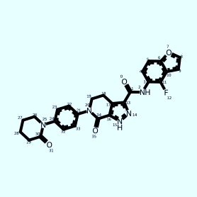 O=C(Nc1ccc2occc2c1F)c1n[nH]c2c1CCN(c1ccc(N3CCCCC3=O)cc1)C2=O